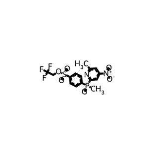 Cc1cc([N+](=O)[O-])cc(P(C)(=O)c2ccc(S(=O)(=O)OCC(F)(F)F)cc2)n1